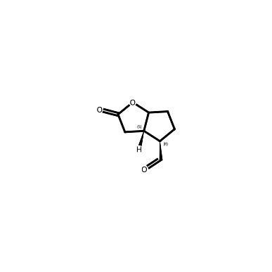 O=C[C@@H]1CCC2OC(=O)C[C@H]21